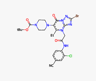 CCc1c(N2CCN(C(=O)OC(C)(C)C)CC2)c(=O)n2nc(Br)nc2n1CC(=O)Nc1ccc(C#N)cc1Cl